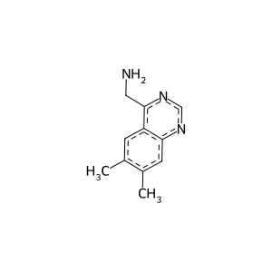 Cc1cc2ncnc(CN)c2cc1C